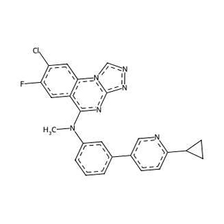 CN(c1cccc(-c2ccc(C3CC3)nc2)c1)c1nc2nncn2c2cc(Cl)c(F)cc12